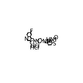 Cl.Cl.O=C1CSc2ccc(CNC3CCN(CCc4c(Cl)cnc5ccc(F)cc45)CC3)nc2N1